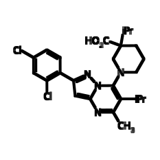 Cc1nc2cc(-c3ccc(Cl)cc3Cl)nn2c(N2CCCC(C(=O)O)(C(C)C)C2)c1C(C)C